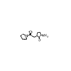 NC1CCN(CC(=O)N2CCCC2)C1=O